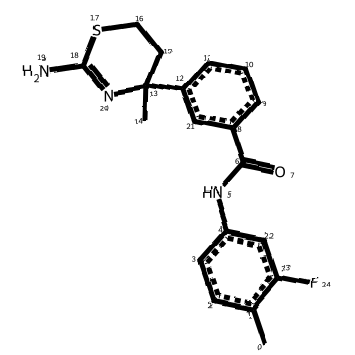 Cc1ccc(NC(=O)c2cccc(C3(C)CCSC(N)=N3)c2)cc1F